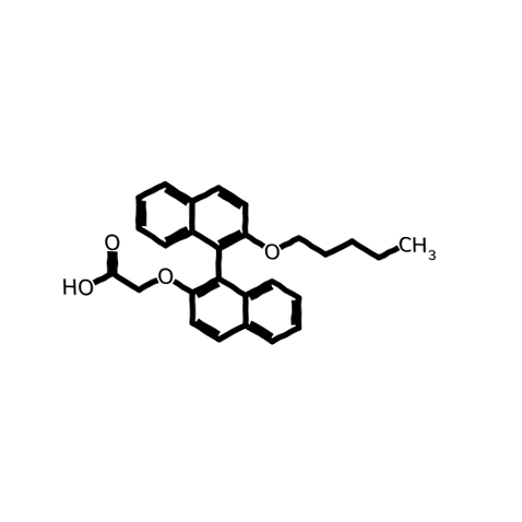 CCCCCOc1ccc2ccccc2c1-c1c(OCC(=O)O)ccc2ccccc12